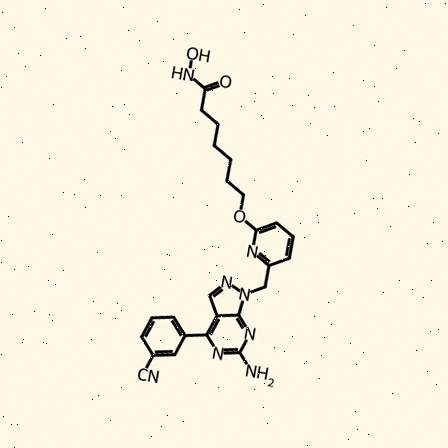 N#Cc1cccc(-c2nc(N)nc3c2cnn3Cc2cccc(OCCCCCCC(=O)NO)n2)c1